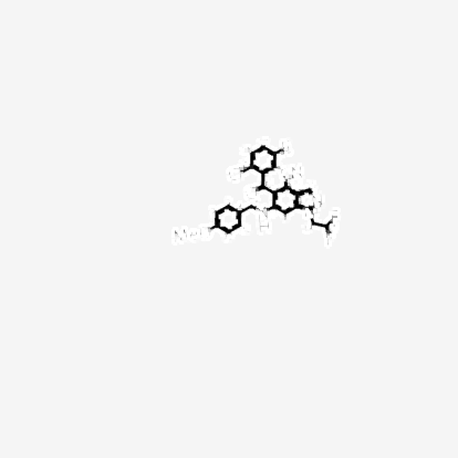 COc1ccc(CNc2cc3c(cnn3CC(F)F)c(C#N)c2C(=O)c2cc(F)ccc2Cl)cc1